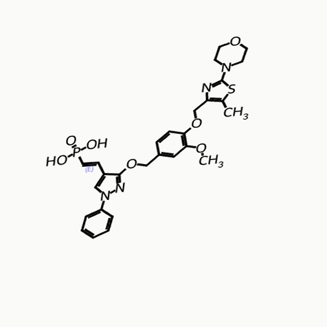 COc1cc(COc2nn(-c3ccccc3)cc2/C=C/P(=O)(O)O)ccc1OCc1nc(N2CCOCC2)sc1C